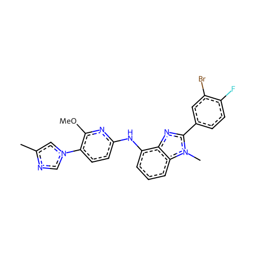 COc1nc(Nc2cccc3c2nc(-c2ccc(F)c(Br)c2)n3C)ccc1-n1cnc(C)c1